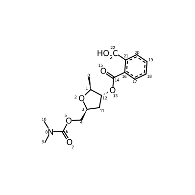 C[C@@H]1O[C@H](COC(=O)N(C)C)C[C@H]1OC(=O)c1ccccc1C(=O)O